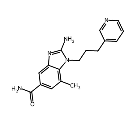 Cc1cc(C(N)=O)cc2nc(N)n(CCCc3cccnc3)c12